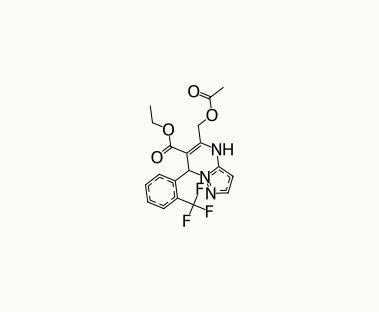 CCOC(=O)C1=C(COC(C)=O)Nc2ccnn2C1c1ccccc1C(F)(F)F